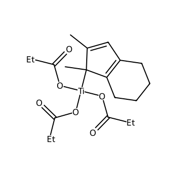 CCC(=O)[O][Ti]([O]C(=O)CC)([O]C(=O)CC)[C]1(C)C(C)=CC2=C1CCCC2